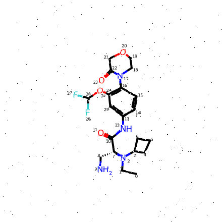 CCN(C1CCC1)[C@H](CN)C(=O)Nc1ccc(N2CCOCC2=O)c(OC(F)F)c1